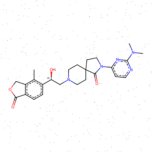 Cc1c([C@@H](O)CN2CCC3(CC2)CCN(c2ccnc(N(C)C)n2)C3=O)ccc2c1COC2=O